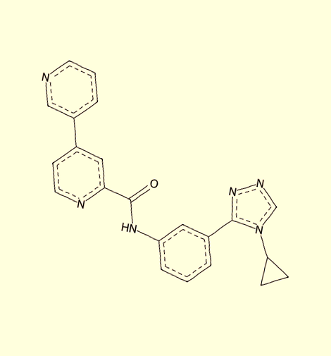 O=C(Nc1cccc(-c2nncn2C2CC2)c1)c1cc(-c2cccnc2)ccn1